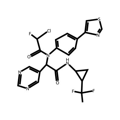 CC(F)(F)C1CC1NC(=O)C(c1cncnc1)N(C(=O)C(F)Cl)c1ccc(-c2cscn2)cc1